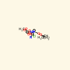 COC(=O)c1ccc(O)c(S(=O)(=O)Nc2cc(C#N)c(Cl)cc2N2CCCC[C@H]2CCCOCOCC[Si](C)(C)C)c1